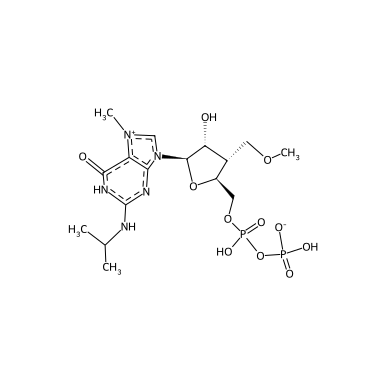 COC[C@H]1[C@@H](O)[C@H](n2c[n+](C)c3c(=O)[nH]c(NC(C)C)nc32)O[C@@H]1COP(=O)(O)OP(=O)([O-])O